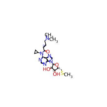 CSC[C@H]1O[C@@H](n2cnc3c(N(C(=O)/C=C/CN(C)C)C4CC4)ncnc32)[C@H](O)[C@@H]1O